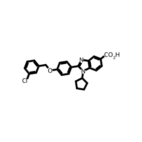 O=C(O)c1ccc2c(c1)nc(-c1ccc(OCc3cccc(Cl)c3)cc1)n2C1CCCC1